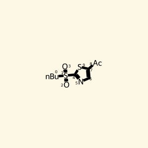 CCCCS(=O)(=O)c1ncc(C(C)=O)s1